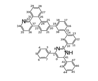 C1=C(c2ccccc2)N=C(c2cccc(-c3cccc(-c4ccc5c(c4)c4ccccc4c4ncccc54)c3)c2)NC1c1ccccc1